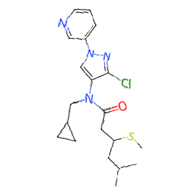 CSC(CC(=O)N(CC1CC1)c1cn(-c2cccnc2)nc1Cl)CC(C)C